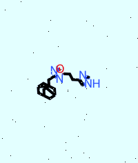 c1nc(CCc2nc(CC34CC5CC(CC(C5)C3)C4)no2)c[nH]1